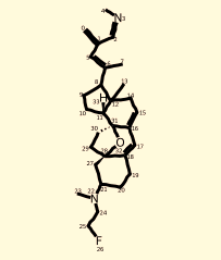 C=C(/C=N\C)/C=C(\C)C1CC[C@@H]2C1(C)CC=C1C=C3CCC(N(C)CCF)C[C@]34CC[C@@]12O4